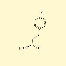 O=C(O)[C@H](O)CCc1ccc(Cl)cc1